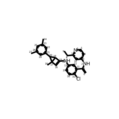 C=C(Nc1ccnc(CC)c1)c1cc(NC2=CC3(C)C2C3c2cc(C)cc(C)c2)ccc1Cl